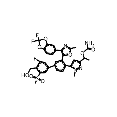 Cc1nc(-c2ccc3c(c2)OC(F)(F)O3)c(-c2cc(-c3cc(F)c(CO)c(S(C)(=O)=O)c3)ccc2-c2cc(C(C)OC(N)=O)nn2C)o1